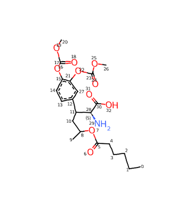 CCCCCC(=O)OC(C)CC(c1ccc(OC(=O)OC)c(OC(=O)OC)c1)[C@H](N)C(=O)O